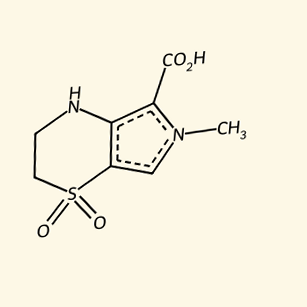 Cn1cc2c(c1C(=O)O)NCCS2(=O)=O